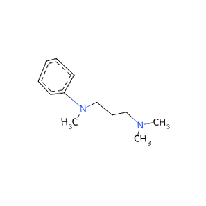 CN(C)CCCN(C)c1ccccc1